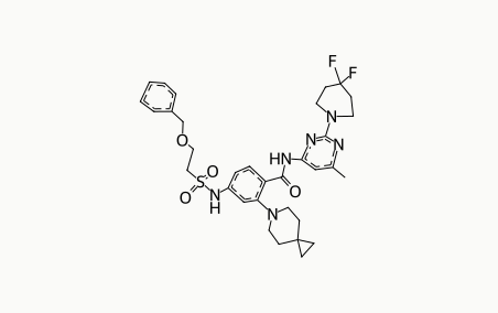 Cc1cc(NC(=O)c2ccc(NS(=O)(=O)CCOCc3ccccc3)cc2N2CCC3(CC2)CC3)nc(N2CCC(F)(F)CC2)n1